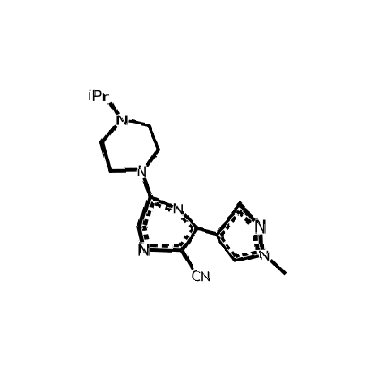 CC(C)N1CCN(c2cnc(C#N)c(-c3cnn(C)c3)n2)CC1